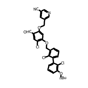 CCCCOc1cccc(-c2cccc(COc3cc(OCc4cncc(C#N)c4)c(C=O)cc3Cl)c2Cl)c1Cl